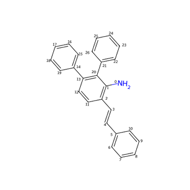 Nc1c(C=Cc2ccccc2)ccc(-c2ccccc2)c1-c1ccccc1